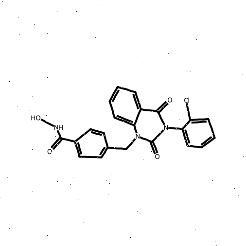 O=C(NO)c1ccc(Cn2c(=O)n(-c3ccccc3Cl)c(=O)c3ccccc32)cc1